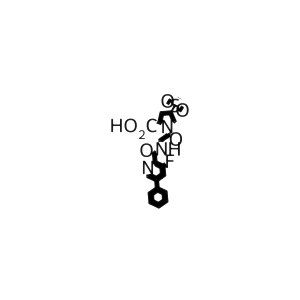 CS(=O)(=O)[C@@H]1C[C@@H](C(=O)O)N(C(=O)CNC(=O)c2ncc(-c3ccccc3)cc2F)C1